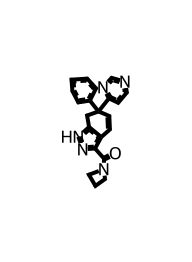 O=C(c1n[nH]c2c1C=CC(c1ccccc1)(c1ccncn1)C2)N1CCC1